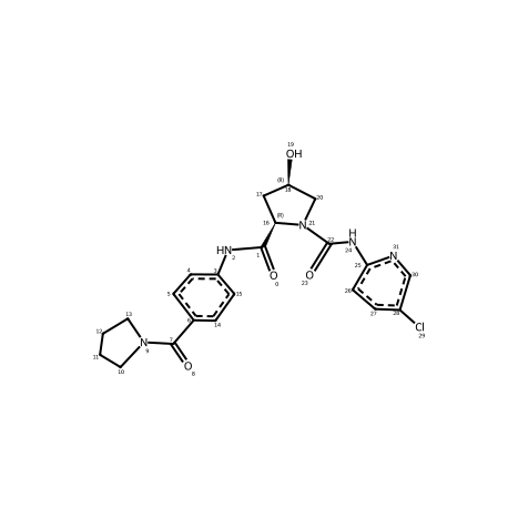 O=C(Nc1ccc(C(=O)N2CCCC2)cc1)[C@H]1C[C@@H](O)CN1C(=O)Nc1ccc(Cl)cn1